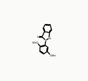 COc1ccc(OC)c(-n2[se]c3ccccc3c2=O)c1